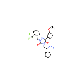 COc1cccc(-c2nn(Cc3ccccc3C(F)(F)F)c(=O)n(CC(N)c3ccccc3)c2=O)c1